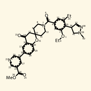 CCOc1cc(C(=O)N2CCC3(CC2)CC(=O)c2cc(-c4cncc(C(=O)OC)c4)ccc2O3)cc(CC)c1C1C=NN(C)C1